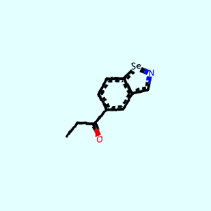 CCC(=O)c1ccc2[se]ncc2c1